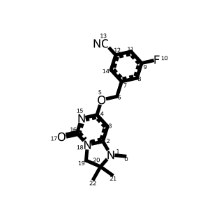 CN1c2cc(OCc3cc(F)cc(C#N)c3)nc(=O)n2CC1(C)C